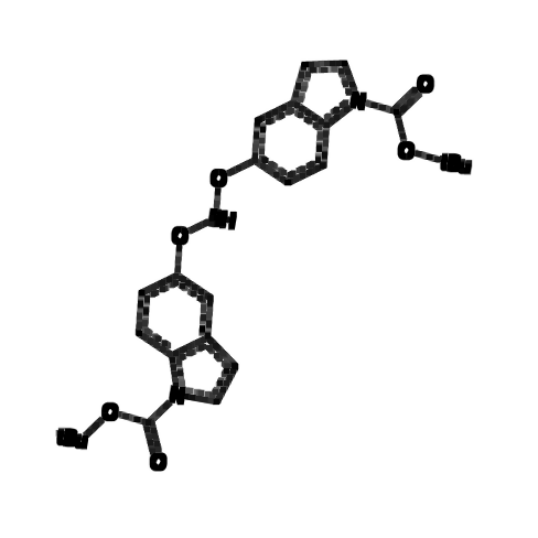 CC(C)(C)OC(=O)n1ccc2cc(OBOc3ccc4c(ccn4C(=O)OC(C)(C)C)c3)ccc21